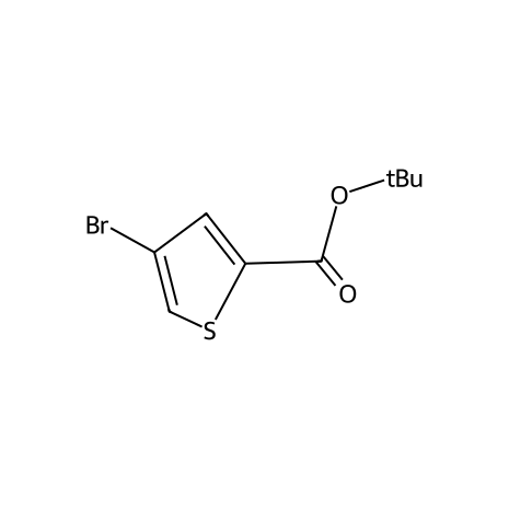 CC(C)(C)OC(=O)c1cc(Br)cs1